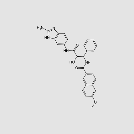 COc1ccc2cc(C(=O)NC(c3ccccc3)C(O)C(=O)Nc3ccc4nc(N)[nH]c4c3)ccc2c1